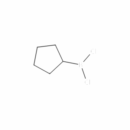 ClB(Cl)C1CCCC1